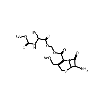 CC(=O)OCC1=C(C(=O)OCOC(=O)C(NC(=O)OC(C)(C)C)C(C)C)N2C(=O)C(N)C2SC1